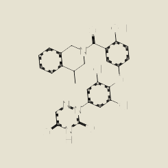 CC1CN(C(=O)c2cc(Oc3c(Cl)cc(-n4ncc(=O)[nH]c4=O)cc3Cl)ccc2O)Cc2ccccc21